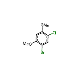 COc1cc(SC)c(Cl)cc1Br